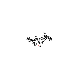 C=CC(=O)OCOc1ccc(C(=O)OCCc2ccc(OC(=O)c3ccc(OCOC(=O)C=C)c(OCOC(=O)C=C)c3)c(/C=N/N=C3C4C=CC=CC4C4C=CC=CC34)c2)cc1OCOC(=O)C=C